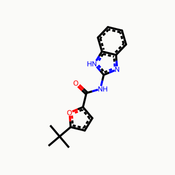 CC(C)(C)c1ccc(C(=O)Nc2nc3ccccc3[nH]2)o1